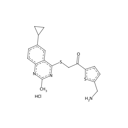 Cc1nc(SCC(=O)c2ccc(CN)s2)c2cc(C3CC3)ccc2n1.Cl